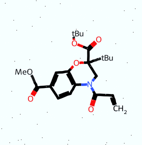 C=CC(=O)N1CC(C(=O)OC(C)(C)C)(C(C)(C)C)Oc2cc(C(=O)OC)ccc21